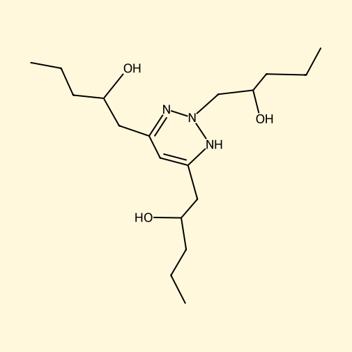 CCCC(O)CC1=CC(CC(O)CCC)=NN(CC(O)CCC)N1